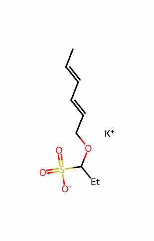 CC=CC=CCOC(CC)S(=O)(=O)[O-].[K+]